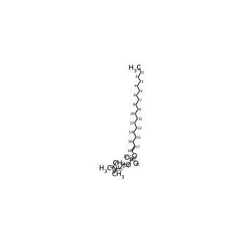 CCCCCCCCCCCCCCCCCC=COP(=O)([O-])OCC[N+](C)(C)C